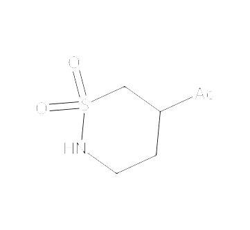 CC(=O)C1CCNS(=O)(=O)C1